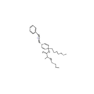 CCCCCCCC1(OC(=O)C(C)OCCCC)C=CC(/N=N/c2ccccc2)C=C1